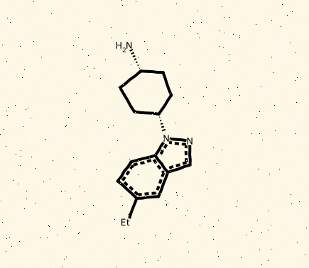 CCc1ccc2c(cnn2[C@H]2CC[C@@H](N)CC2)c1